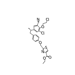 CCOC(=O)c1csc(COc2ccc(C[C@@H](C)c3cc(Cl)c(OCCCl)c(C#N)c3)cc2)n1